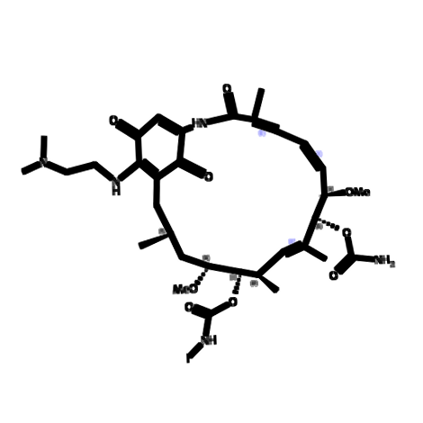 CO[C@@H]1/C=C\C=C(/C)C(=O)NC2=CC(=O)C(NCCN(C)C)=C(C[C@H](C)C[C@@H](OC)[C@@H](OC(=O)NI)[C@H](C)/C=C(\C)[C@H]1OC(N)=O)C2=O